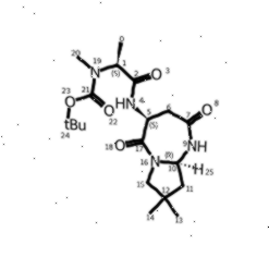 C[C@@H](C(=O)N[C@H]1CC(=O)N[C@H]2CC(C)(C)CN2C1=O)N(C)C(=O)OC(C)(C)C